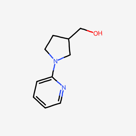 OCC1CCN(c2ccccn2)C1